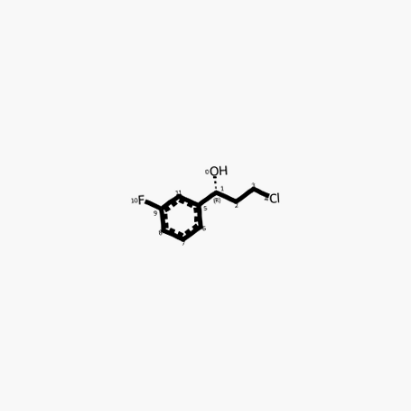 O[C@H](CCCl)c1cccc(F)c1